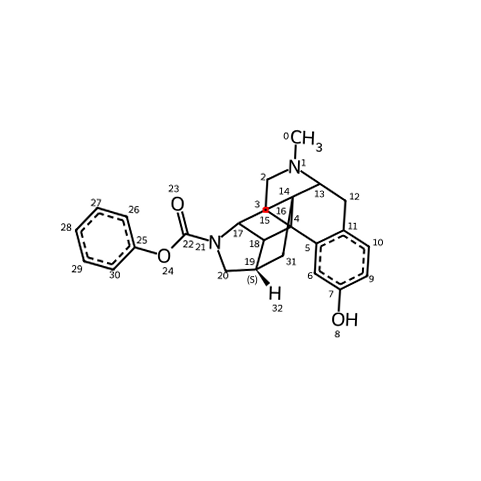 CN1CCC23c4cc(O)ccc4CC1C21CCC2C3[C@@H](CN2C(=O)Oc2ccccc2)C1